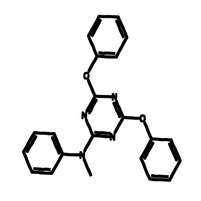 CN(c1ccccc1)c1nc(Oc2ccccc2)nc(Oc2ccccc2)n1